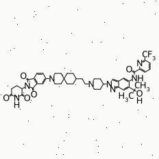 CC(C)(O)c1cc2nn(C3CCN(CCC4CCC5(CC4)CCN(c4ccc6c(c4)C(=O)N(C4CCC(=O)NC4=O)C6=O)CC5)CC3)cc2cc1NC(=O)c1cccc(C(F)(F)F)n1